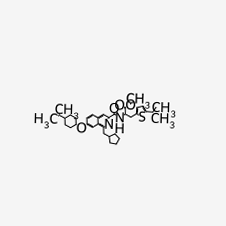 COC(=O)C(Cc1ccc(C(C)C)s1)NC(=O)c1cc2ccc(OC3CCC(C(C)C)CC3)cc2c(CC2CCCC2)n1